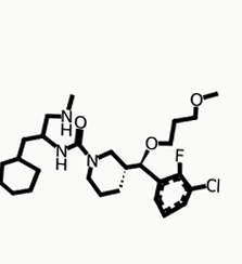 CNCC(CC1CCCCC1)NC(=O)N1CCC[C@@H]([C@@H](OCCCOC)c2cccc(Cl)c2F)C1